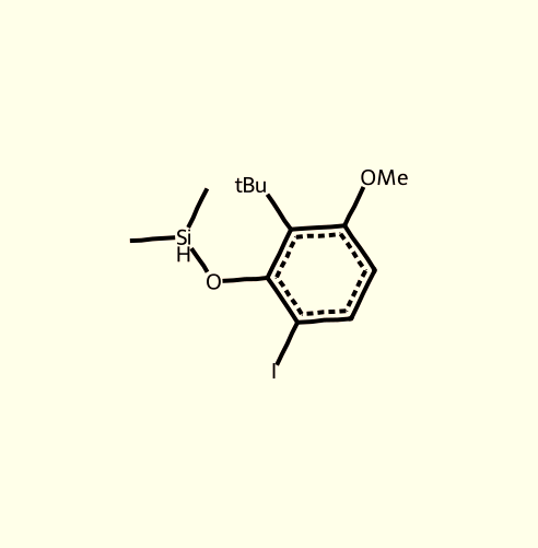 COc1ccc(I)c(O[SiH](C)C)c1C(C)(C)C